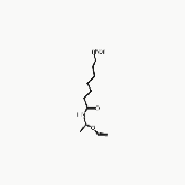 C=COC(C)NC(=O)CCCCCCCCCCCCCCC